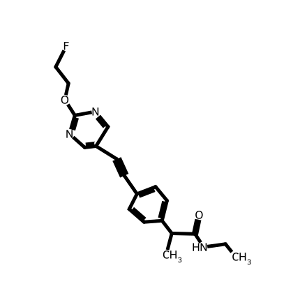 CCNC(=O)C(C)c1ccc(C#Cc2cnc(OCCF)nc2)cc1